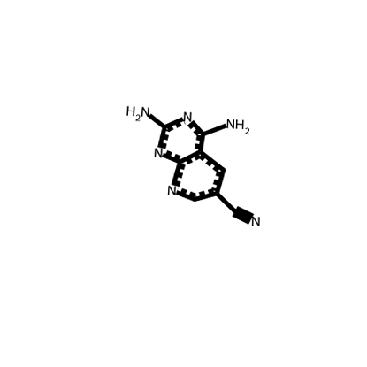 N#Cc1cnc2nc(N)nc(N)c2c1